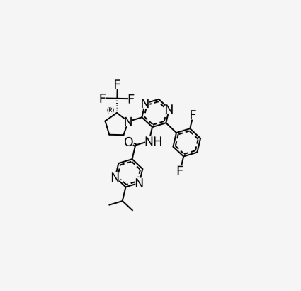 CC(C)c1ncc(C(=O)Nc2c(-c3cc(F)ccc3F)ncnc2N2CCC[C@@H]2C(F)(F)F)cn1